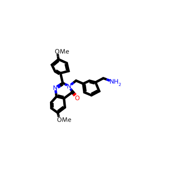 COc1ccc(-c2nc3ccc(OC)cc3c(=O)n2Cc2cccc(CN)c2)cc1